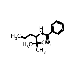 CCCC(NC(=O)c1ccccc1)C(C)(C)C